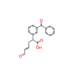 O=CC=CCC(C(=O)O)c1cccc(C(=O)c2ccccc2)c1